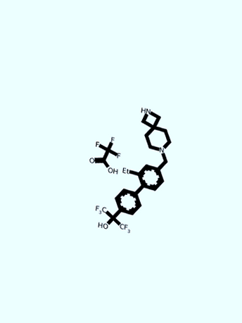 CCc1cc(CN2CCC3(CC2)CNC3)ccc1-c1ccc(C(O)(C(F)(F)F)C(F)(F)F)cc1.O=C(O)C(F)(F)F